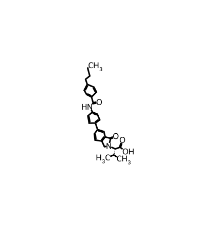 CCCCc1ccc(C(=O)Nc2ccc(-c3ccc4c(c3)C(=O)N([C@H](C(=O)O)C(C)C)C4)cc2)cc1